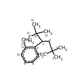 CC(C)(C)CC(c1ccccc1O)C(C)(C)C